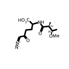 CO[C@H](C)[C@H](C)C(=O)NC(CCC(=O)C=[N+]=[N-])C(=O)O